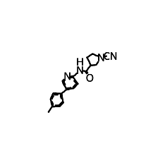 Cc1ccc(-c2ccc(NC(=O)C3CCN(C#N)C3)nc2)cc1